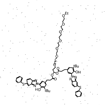 CCOCCOCCOCCOCCOCCOCCOCCC(OC(=O)CCc1cc(-n2nc3ccc(Sc4ccccc4)cc3n2)c(O)c(C(C)(C)C)c1)OC(=O)CCc1cc(-n2nc3ccc(Sc4ccccc4)cc3n2)c(O)c(C(C)(C)C)c1